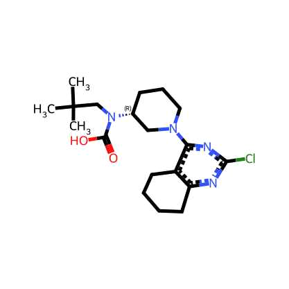 CC(C)(C)CN(C(=O)O)[C@@H]1CCCN(c2nc(Cl)nc3c2CCCC3)C1